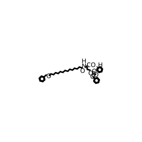 O=C(CCCCCCCCCCCCCOCc1ccccc1)N[C@H](CCOP(=O)(Oc1ccccc1)Oc1ccccc1)C(=O)O